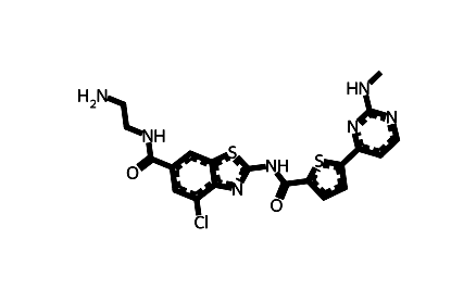 CNc1nccc(-c2ccc(C(=O)Nc3nc4c(Cl)cc(C(=O)NCCN)cc4s3)s2)n1